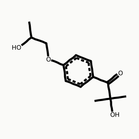 CC(O)COc1ccc(C(=O)C(C)(C)O)cc1